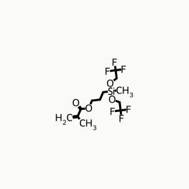 C=C(C)C(=O)OCCC[Si](C)(OCC(F)(F)F)OCC(F)(F)F